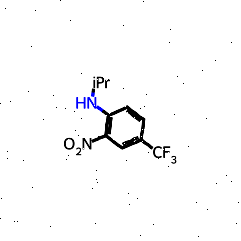 CC(C)Nc1ccc(C(F)(F)F)cc1[N+](=O)[O-]